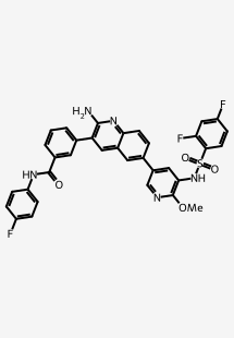 COc1ncc(-c2ccc3nc(N)c(-c4cccc(C(=O)Nc5ccc(F)cc5)c4)cc3c2)cc1NS(=O)(=O)c1ccc(F)cc1F